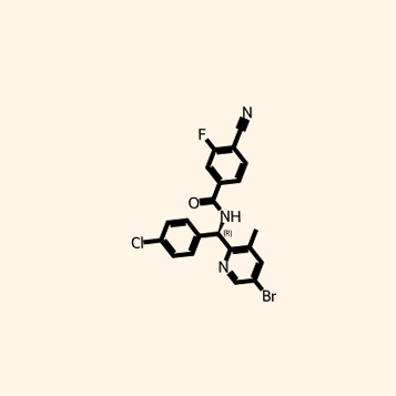 Cc1cc(Br)cnc1[C@H](NC(=O)c1ccc(C#N)c(F)c1)c1ccc(Cl)cc1